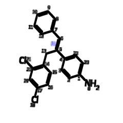 Nc1ccc(/C(=C/c2ccccc2)Cc2ccc(Cl)cc2Cl)cc1